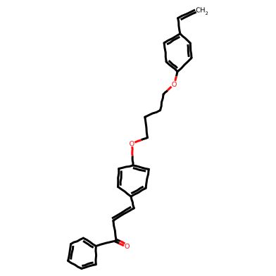 C=Cc1ccc(OCCCCOc2ccc(C=CC(=O)c3ccccc3)cc2)cc1